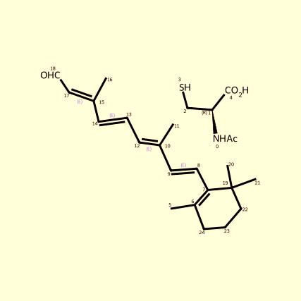 CC(=O)N[C@@H](CS)C(=O)O.CC1=C(/C=C/C(C)=C/C=C/C(C)=C/C=O)C(C)(C)CCC1